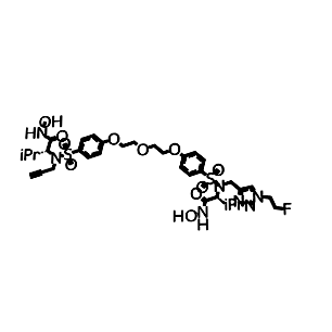 C#CCN([C@@H](C(=O)NO)C(C)C)S(=O)(=O)c1ccc(OCCOCCOc2ccc(S(=O)(=O)N(Cc3cn(CCF)nn3)[C@H](C(=O)NO)C(C)C)cc2)cc1